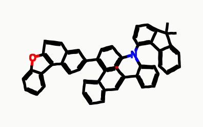 CC1(C)c2ccccc2-c2c(N(c3ccc(-c4ccc5c(ccc6oc7ccccc7c65)c4)cc3)c3ccccc3-c3ccc4ccccc4c3)cccc21